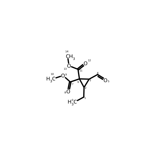 CCC1C(C=O)C1(C(=O)OC)C(=O)OC